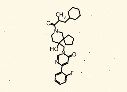 CC(CC1CCCCC1)C(=O)N1CCC(O)(Cn2cnc(-c3ccccc3F)cc2=O)C2(CCCC2)C1